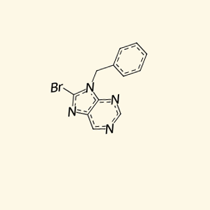 Brc1nc2cncnc2n1Cc1ccccc1